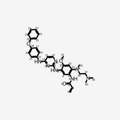 C=CC(=O)Nc1cc(Nc2nccc(Nc3ccc(Oc4ccccc4)cc3)n2)c(OC)cc1N(C)CCN(C)C